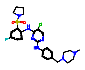 CN1CCN(Cc2ccc(Nc3ncc(Cl)c(Nc4ccc(F)cc4S(=O)(=O)N4CCCC4)n3)cc2)CC1